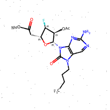 COC(=O)C[C@H]1O[C@@H](n2c(=O)n(CCCC(F)(F)F)c3cnc(N)nc32)[C@H](OC(C)=O)[C@@H]1F